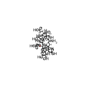 N[C@@H](CCC(=O)O)C(=O)N[C@@H](CO)C(=O)N[C@@H](CCC(=O)O)C(=O)N[C@@H](CO)C(=O)N[C@@H](CCC(=O)O)C(=O)N[C@@H](CO)C(=O)N[C@@H](CCC(=O)O)C(=O)N[C@@H](CO)C(=O)O